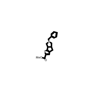 COC(=O)c1cc2c(s1)C1CN(Cc3ccccc3)CC1C2